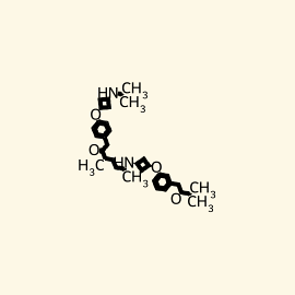 CC(C)N[C@H]1C[C@H](Oc2ccc(CC(=O)C(C)CCC(C)N[C@H]3C[C@H](Oc4cccc(CC(=O)C(C)C)c4)C3)cc2)C1